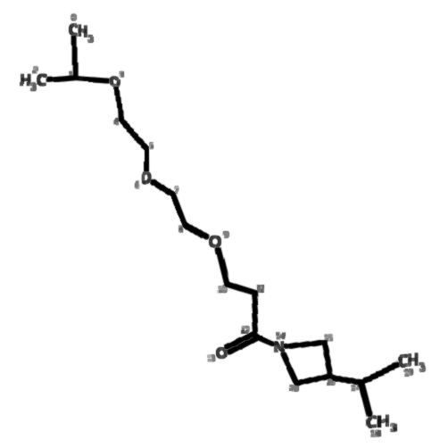 CC(C)OCCOCCOCCC(=O)N1CC(C(C)C)C1